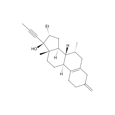 C=C1CCC2=C(C1)C[C@@H](C)[C@@H]1[C@@H]2CC[C@@]2(C)[C@H]1C[C@@H](CC)[C@@]2(O)C#CC